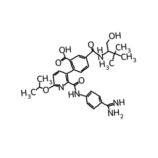 CC(C)Oc1ccc(-c2ccc(C(=O)NC(CO)C(C)(C)C)cc2C(=O)O)c(C(=O)Nc2ccc(C(=N)N)cc2)n1